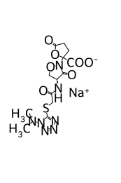 CN(C)n1nnnc1SCC(=O)N[C@H]1CON(C2(C(=O)[O-])CCC(=O)O2)C1=O.[Na+]